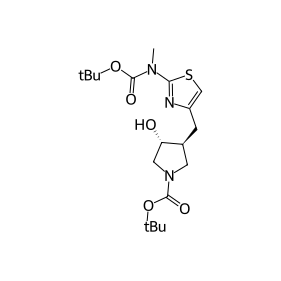 CN(C(=O)OC(C)(C)C)c1nc(C[C@H]2CN(C(=O)OC(C)(C)C)C[C@@H]2O)cs1